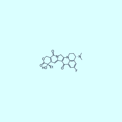 CC[C@@]1(O)C(=O)OCc2c1cc1n(c2=O)Cc2c-1c(=O)c1cc(F)cc3c1n2CC[C@@H]3N(C)C